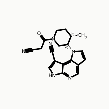 C[C@H]1CCN(C(=O)CC#N)C[C@H]1n1ccc2cnc3[nH]cc(C#N)c3c21